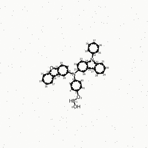 OBOc1ccc(N(c2ccc3oc4ccccc4c3c2)c2ccc3c(c2)c2ccccc2n3-c2ccccc2)cc1